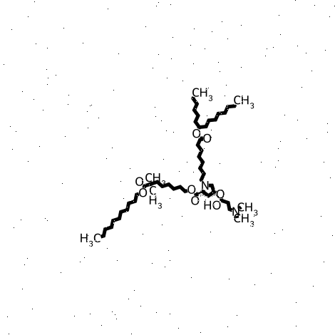 CCCCCCCCCCCOC(=O)C(C)(C)CCCCCCOC(=O)[C@@H]1C[C@H](OC(O)CCN(C)C)CN1CCCCCCCC(=O)OC(CCCCCC)CCCCCCCC